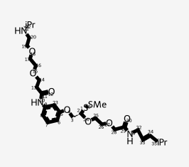 CSS[C@@H](COc1cccc(NC(=O)CCOCCOCCNC(C)C)c1)OCCOCC(=O)NC/C=C/C(C)C